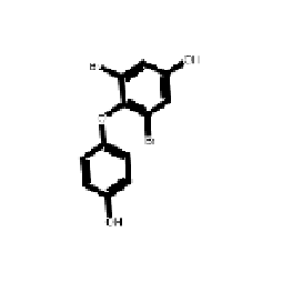 Oc1ccc(Oc2c(Br)cc(O)cc2Br)cc1